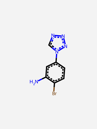 Nc1cc(-n2cnnn2)ccc1Br